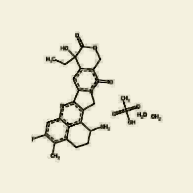 CCC1(O)C(=O)OCc2c1cc1n(c2=O)Cc2c-1nc1cc(F)c(C)c3c1c2C(N)CC3.CS(=O)(=O)O.O.O